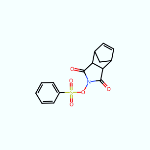 O=C1C2C3C=CC(C3)C2C(=O)N1OS(=O)(=O)c1ccccc1